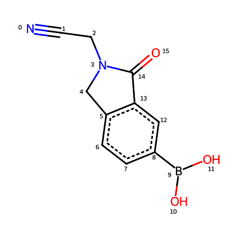 N#CCN1Cc2ccc(B(O)O)cc2C1=O